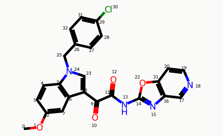 COc1ccc2c(c1)c(C(=O)C(=O)Nc1nc3cnccc3o1)cn2Cc1ccc(Cl)cc1